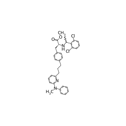 COC(=O)[C@H](Cc1ccc(CCCc2cccc(N(C)c3ccccc3)n2)cc1)NC(=S)c1c(Cl)cccc1Cl